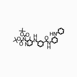 Cc1c(Nc2cccc(C(=O)Nc3cccc(Nc4ccccc4)c3)c2)ccnc1N(C(=O)OC(C)(C)C)C(=O)OC(C)(C)C